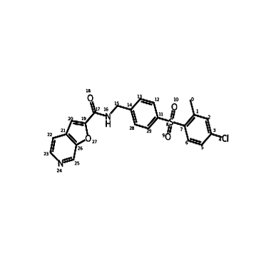 Cc1cc(Cl)ccc1S(=O)(=O)c1ccc(CNC(=O)c2cc3ccncc3o2)cc1